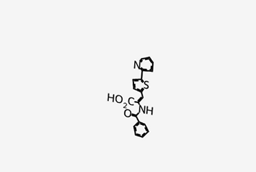 O=C(O)/C(=C\c1ccc(-c2ccccn2)s1)NC(=O)c1ccccc1